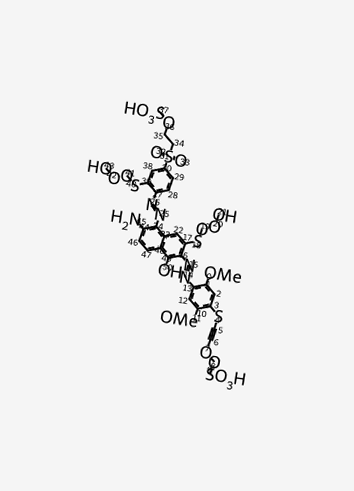 COc1cc(SC#COOS(=O)(=O)O)c(OC)cc1N=Nc1c(SOOO)cc2c(N=Nc3ccc(S(=O)(=O)CCOS(=O)(=O)O)cc3SOOO)c(N)ccc2c1O